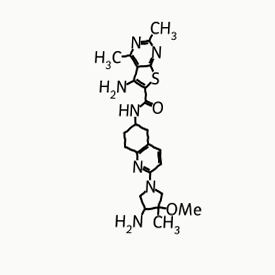 COC1(C)CN(c2ccc3c(n2)CCC(NC(=O)c2sc4nc(C)nc(C)c4c2N)C3)CC1N